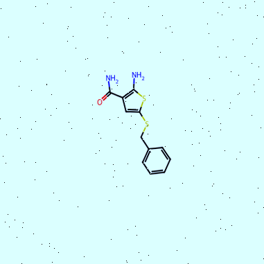 NC(=O)c1cc(SCc2ccccc2)sc1N